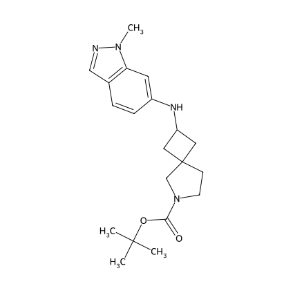 Cn1ncc2ccc(NC3CC4(CCN(C(=O)OC(C)(C)C)C4)C3)cc21